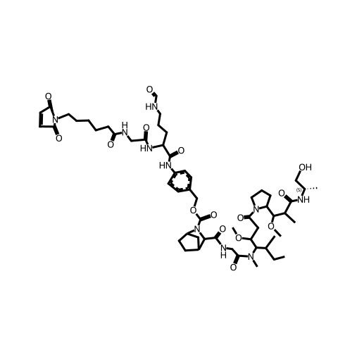 CCC(C)C(C(CC(=O)N1CCCC1C(OC)C(C)C(=O)N[C@@H](C)CO)OC)N(C)C(=O)CNC(=O)C1C2CCC(C2)N1C(=O)OCc1ccc(NC(=O)C(CCCNC=O)NC(=O)CNC(=O)CCCCCN2C(=O)C=CC2=O)cc1